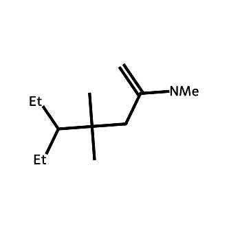 C=C(CC(C)(C)C(CC)CC)NC